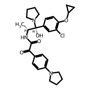 C[C@@H](NC(=O)C(=O)c1ccc(N2CCCC2)cc1)[C@](O)(c1ccc(OC2CC2)c(Cl)c1)N1CCCC1